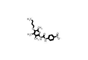 CCCCOc1c(C)nc(NC(=O)Nc2ccc([N+](=O)[O-])cc2)c(C)c1C